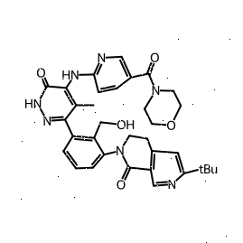 Cc1c(-c2cccc(N3CCc4cc(C(C)(C)C)ncc4C3=O)c2CO)n[nH]c(=O)c1Nc1ccc(C(=O)N2CCOCC2)cn1